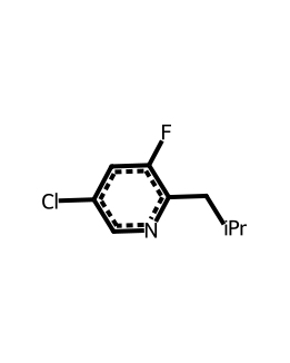 CC(C)Cc1ncc(Cl)cc1F